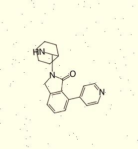 O=C1c2c(cccc2-c2ccncc2)CN1C1NC2CCC1CC2